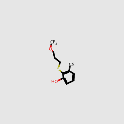 N#Cc1cccc(O)c1SCCCOC(F)(F)F